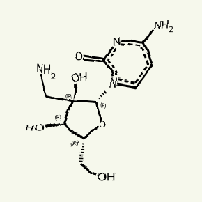 NC[C@@]1(O)[C@H](O)[C@@H](CO)O[C@H]1n1ccc(N)nc1=O